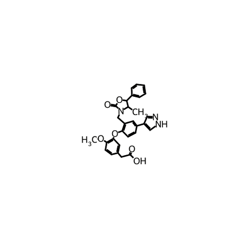 COc1ccc(CC(=O)O)cc1Oc1ccc(-c2cn[nH]c2)cc1CN1C(=O)OC(c2ccccc2)C1C